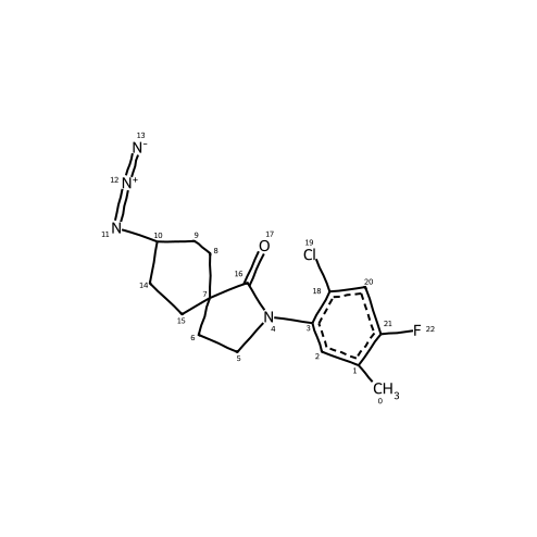 Cc1cc(N2CCC3(CCC(N=[N+]=[N-])CC3)C2=O)c(Cl)cc1F